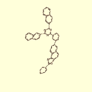 c1ccc(-c2nc3c(ccc4cc(-c5cccc(-c6nc(-c7ccc8ccccc8c7)nc(-c7ccc8ccccc8c7)n6)c5)ccc43)s2)cc1